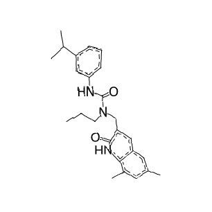 CCCN(Cc1cc2cc(C)cc(C)c2[nH]c1=O)C(=O)Nc1cccc(C(C)C)c1